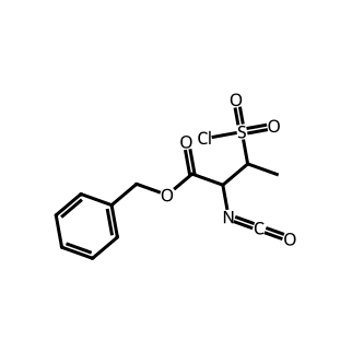 CC(C(N=C=O)C(=O)OCc1ccccc1)S(=O)(=O)Cl